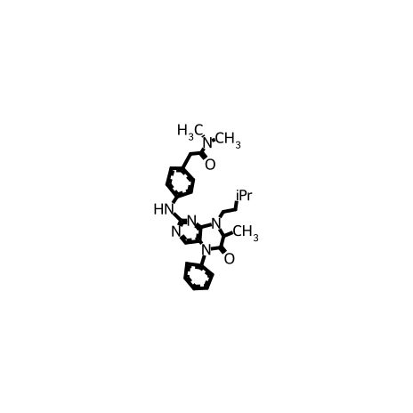 CC(C)CCN1c2nc(Nc3ccc(CC(=O)N(C)C)cc3)ncc2N(c2ccccc2)C(=O)C1C